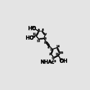 CC(=O)Nc1cc(C#Cc2ccc(O)c(O)c2)ccc1O